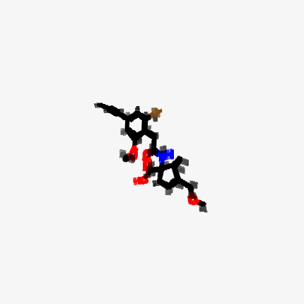 CC#Cc1cc(Br)c(CC(=O)NC2(C(=O)O)CCC(COC)C2C)c(OC)c1